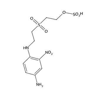 Nc1ccc(NCCS(=O)(=O)CCOS(=O)(=O)O)c([N+](=O)[O-])c1